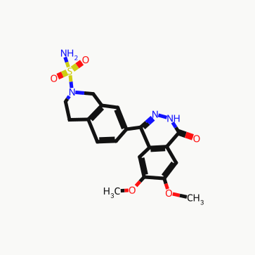 COc1cc2c(-c3ccc4c(c3)CN(S(N)(=O)=O)CC4)n[nH]c(=O)c2cc1OC